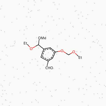 CCOCOc1cc(C=O)cc(C(OC)OCC)c1